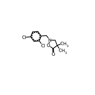 CC1(C)CN(Cc2ccc(Cl)cc2Cl)OC1=O